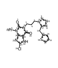 CCCn1c(=O)n(CCCn2nnnc2Cc2cccs2)c(=O)c2[nH]c(Cl)nc21